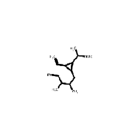 C=CC1C(CC(C)C(C)CC(C)C)C1C(C)NC